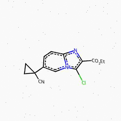 CCOC(=O)c1nc2ccc(C3(C#N)CC3)cn2c1Cl